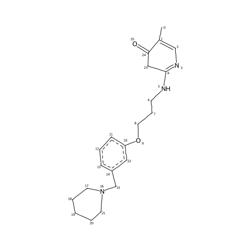 CC1=CN=C(NCCCOc2cccc(CN3CCCCC3)c2)CC1=O